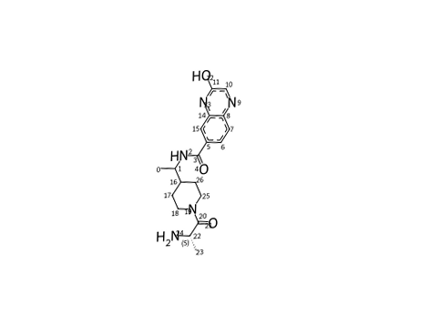 CC(NC(=O)c1ccc2ncc(O)nc2c1)C1CCN(C(=O)[C@H](C)N)CC1